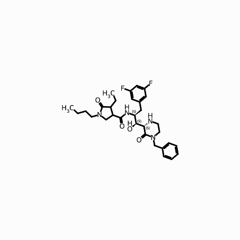 CCCCN1CC(C(=O)N[C@@H](Cc2cc(F)cc(F)c2)[C@H](O)[C@@H]2NCCN(Cc3ccccc3)C2=O)C(CC)C1=O